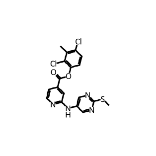 CSc1ncc(Nc2cc(C(=O)Oc3ccc(Cl)c(C)c3Cl)ccn2)cn1